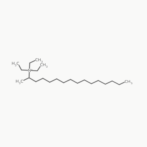 CCCCCCCCCCCCCCC(C)[N+](CC)(CC)CC